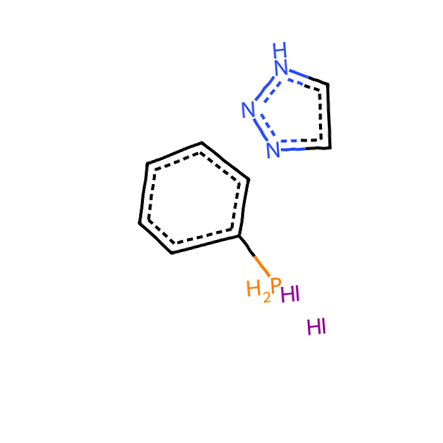 I.I.Pc1ccccc1.c1c[nH]nn1